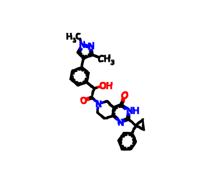 Cc1nn(C)cc1-c1cccc(C(O)C(=O)N2CCc3nc(C4(c5ccccc5)CC4)[nH]c(=O)c3C2)c1